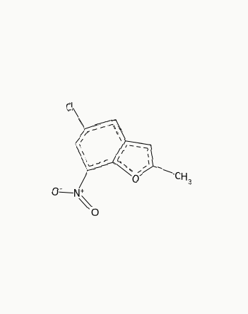 Cc1cc2cc(Cl)cc([N+](=O)[O-])c2o1